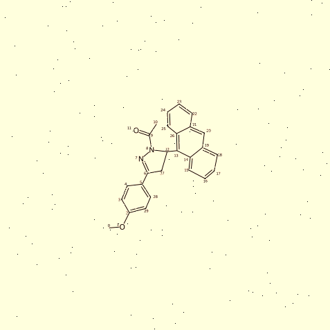 COc1ccc(C2=NN(C(C)=O)C(c3c4ccccc4cc4ccccc34)C2)cc1